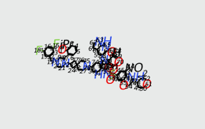 CC(C)Oc1ccccc1[C@@H]1CN(Cc2cc(F)cc(F)c2)CCN1C1CC2(CCN(c3ccc(C(=O)NS(=O)(=O)c4cc5c(c([N+](=O)[O-])c4)N[C@H](C4CCOCC4)CO5)c(N4c5cc6cc[nH]c6nc5O[C@H]5COCC[C@@H]54)c3)CC2)C1